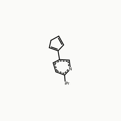 CC(C)c1ccc(C2=CCC=C2)cn1